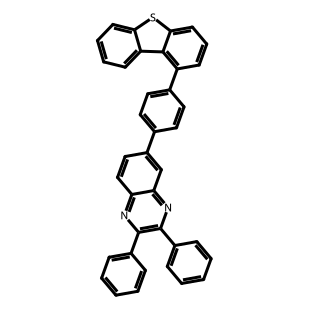 c1ccc(-c2nc3ccc(-c4ccc(-c5cccc6sc7ccccc7c56)cc4)cc3nc2-c2ccccc2)cc1